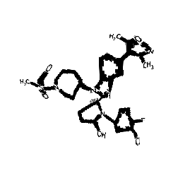 Cc1noc(C)c1-c1ccc2c(c1)nc([C@@H]1CCC(O)N1c1ccc(F)c(Cl)c1)n2C1CCN(S(C)(=O)=O)CC1